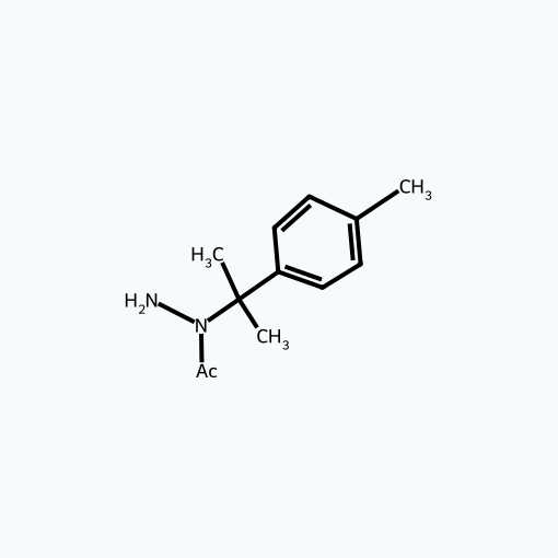 CC(=O)N(N)C(C)(C)c1ccc(C)cc1